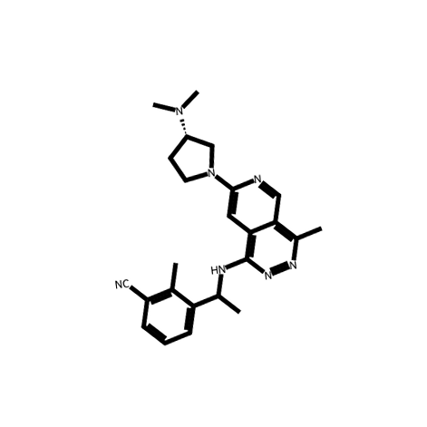 Cc1c(C#N)cccc1C(C)Nc1nnc(C)c2cnc(N3CC[C@H](N(C)C)C3)cc12